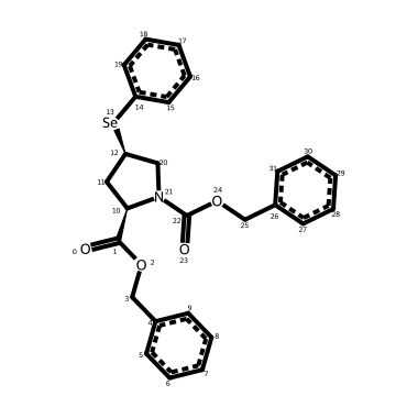 O=C(OCc1ccccc1)[C@H]1C[C@@H]([Se]c2ccccc2)CN1C(=O)OCc1ccccc1